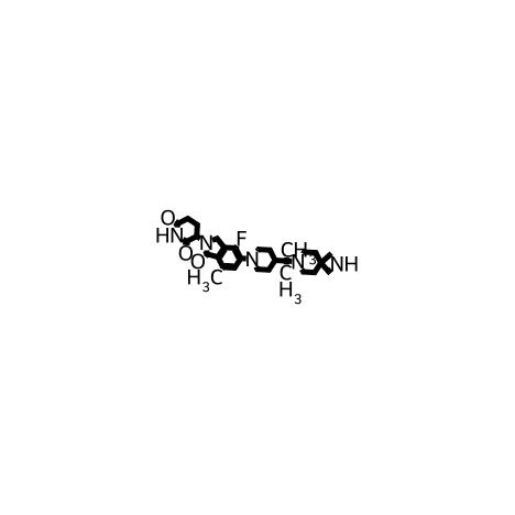 Cc1cc(N2CCC(C(C)(C)N3CCC4(CC3)CNC4)CC2)c(F)c2c1C(=O)N(C1CCC(=O)NC1=O)C2